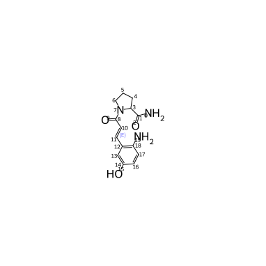 NC(=O)C1CCCN1C(=O)/C=C/c1cc(O)ccc1N